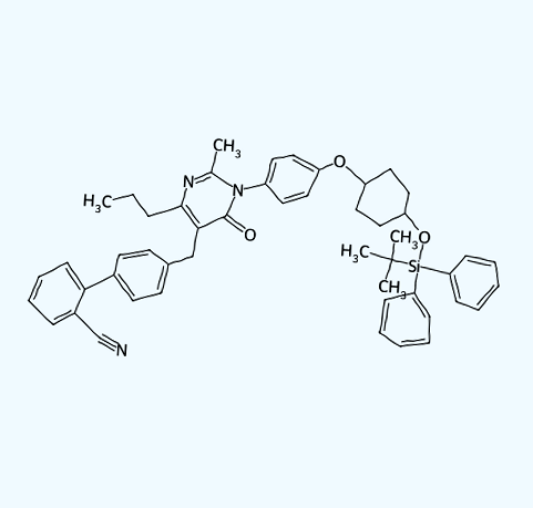 CCCc1nc(C)n(-c2ccc(OC3CCC(O[Si](c4ccccc4)(c4ccccc4)C(C)(C)C)CC3)cc2)c(=O)c1Cc1ccc(-c2ccccc2C#N)cc1